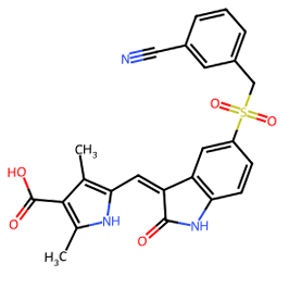 Cc1[nH]c(/C=C2\C(=O)Nc3ccc(S(=O)(=O)Cc4cccc(C#N)c4)cc32)c(C)c1C(=O)O